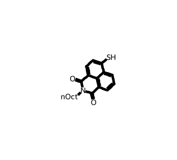 CCCCCCCCN1C(=O)c2cccc3c(S)ccc(c23)C1=O